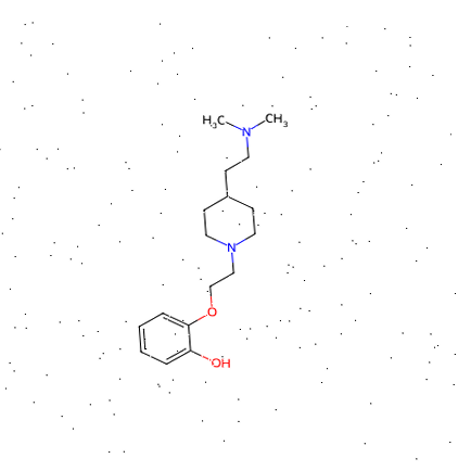 CN(C)CCC1CCN(CCOc2ccccc2O)CC1